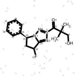 CC(C)(CO)C(=O)S1=NN2C(=N1)C(F)C[C@H]2c1ccccc1